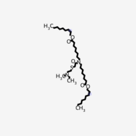 CCCCCC/C=C\COC(=O)CCCCCCCN(CCCCCCCC(=O)OC/C=C\CCCCCC)C(=O)CSCCN(C)CC